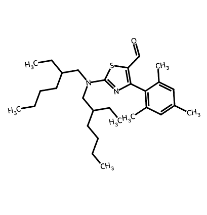 CCCCC(CC)CN(CC(CC)CCCC)c1nc(-c2c(C)cc(C)cc2C)c(C=O)s1